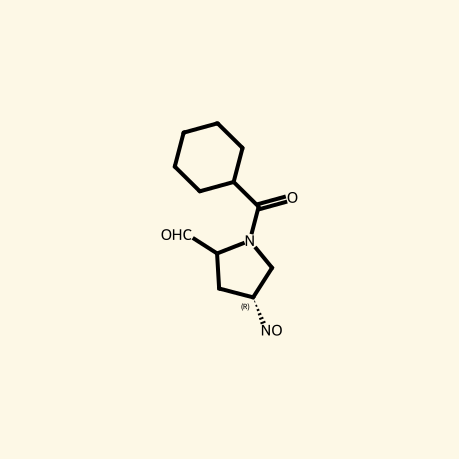 O=CC1C[C@@H](N=O)CN1C(=O)C1CCCCC1